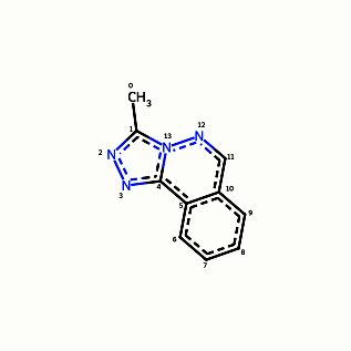 Cc1nnc2c3ccccc3cnn12